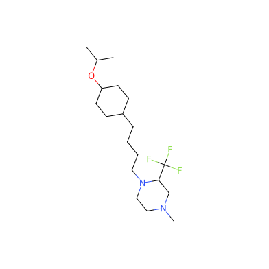 CC(C)OC1CCC(CCCCN2CCN(C)CC2C(F)(F)F)CC1